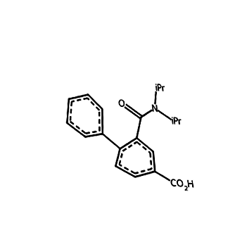 CC(C)N(C(=O)c1cc(C(=O)O)ccc1-c1ccccc1)C(C)C